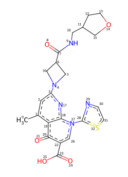 Cc1cc(N2CC(C(=O)NCC3CCOC3)C2)nc2c1c(=O)c(C(=O)O)cn2-c1nccs1